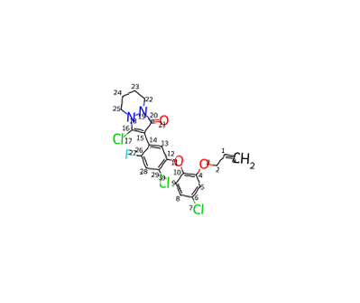 C=CCOc1cc(Cl)ccc1Oc1cc(-c2c(Cl)n3n(c2=O)CCCC3)c(F)cc1Cl